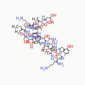 CC[C@H](C)[C@H](NC(=O)[C@H](CO)NC(=O)[C@@H](NC(=O)[C@H](CC(C)C)NC(=O)CNC(=O)[C@H](CC(N)=O)NC(=O)[C@@H](NC(=O)[C@H](CCC(N)=O)NC(=O)[C@@H]1CCCN1C(=O)[C@H](Cc1ccc(O)cc1)NC(=O)[C@@H](N)CCCCN)C(C)C)[C@@H](C)O)C(=O)N[C@@H](CCCCN)C(=O)N[C@@H](Cc1c[nH]c2ccccc12)C(=O)N[C@@H](C)C(=O)N[C@@H](CC(=O)O)C(=O)O